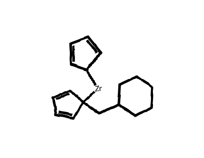 C1=C[CH]([Zr][C]2(CC3CCCCC3)C=CC=C2)C=C1